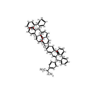 CC(C)c1ccc(N(c2ccc3cc4c(cc3c2)oc2cc3cc(N(c5ccccc5-c5ccccc5)c5ccccc5-c5ccccc5)ccc3cc24)c2ccccc2-c2ccccc2)cc1